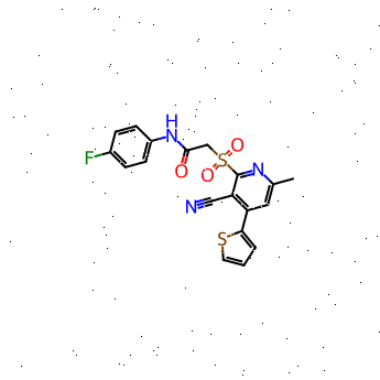 Cc1cc(-c2cccs2)c(C#N)c(S(=O)(=O)CC(=O)Nc2ccc(F)cc2)n1